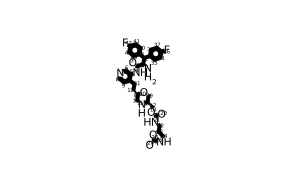 N[C@H](C(=O)Nc1cnccc1CC[C@@H]1CN[C@H](COC(=O)NCC2CNC(=O)O2)CO1)C(c1ccc(F)cc1)c1ccc(F)cc1